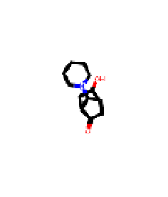 O=C1CC2C(O)CC1C2N1CCCCC1